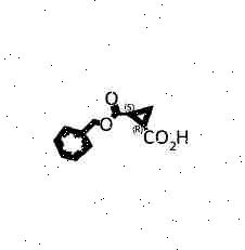 O=C(OCc1ccccc1)[C@H]1C[C@H]1C(=O)O